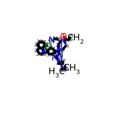 C=CC(=O)N1CCN(c2nc(N3CC(N(C)C)C3)nc3c2CC[C@@H](N2CCCc4cccc(Cl)c42)C3)C[C@@H]1CC#N